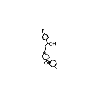 CC1=CCC=C(C2(O)CCN(CCCC(O)c3ccc(F)cc3)CC2)C=C1